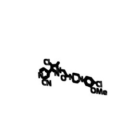 COc1cc(N2CCN(C(=O)Cn3nc(-c4ccnc(C#N)c4)c(Cl)c3C)CC2)ccc1Cl